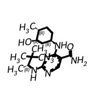 C[C@@H]1CC[C@@H](Nc2nc(N[C@H](C)C(C)(C)C)ncc2C(N)=O)C[C@H]1O